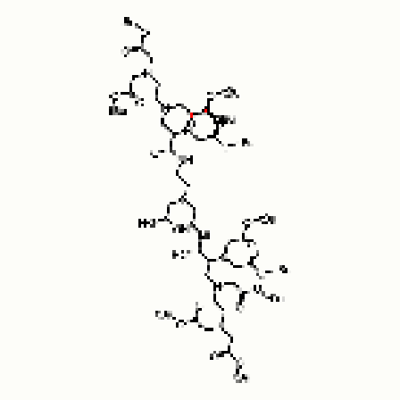 CC(C)(C)OC(=O)CN(CCN(CC(=O)OC(C)(C)C)CC([C@H](O)NCCN(CCN[C@@H](O)C(CN(CCN(CC(=O)OC(C)(C)C)CC(=O)OC(C)(C)C)CC(=O)OC(C)(C)C)N(CC(=O)OC(C)(C)C)CC(=O)OC(C)(C)C)CC(O)O)N(CC(=O)OC(C)(C)C)CC(=O)OC(C)(C)C)CC(=O)OC(C)(C)C